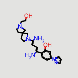 N/C(=C\C=C(/N)N1CCC2(CCN(CCO)C2)C1)c1ccc(-n2cccn2)cc1O